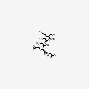 C(OCC1CO1)C1CO1.C=CC(=O)O.C=CC(=O)O.C=CC(=O)O.OCCCC(CO)CO